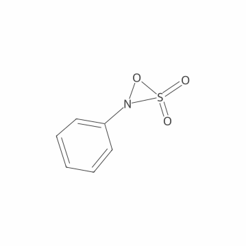 O=S1(=O)ON1c1ccccc1